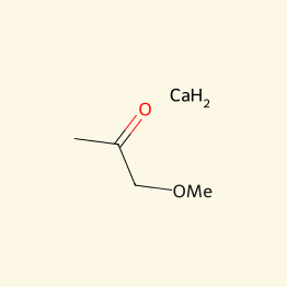 COCC(C)=O.[CaH2]